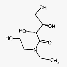 CCN(CCO)C(=O)[C@H](O)[C@H](O)CO